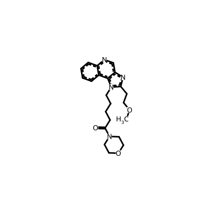 COCCc1nc2cnc3ccccc3c2n1CCCCC(=O)N1CCOCC1